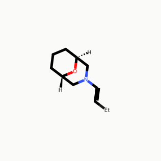 CCC=CN1C[C@@H]2CCC[C@@H](C1)O2